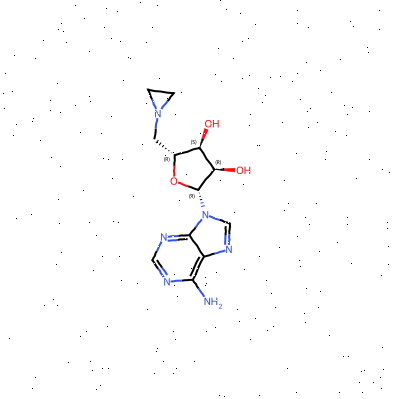 Nc1ncnc2c1ncn2[C@@H]1O[C@H](CN2CC2)[C@@H](O)[C@H]1O